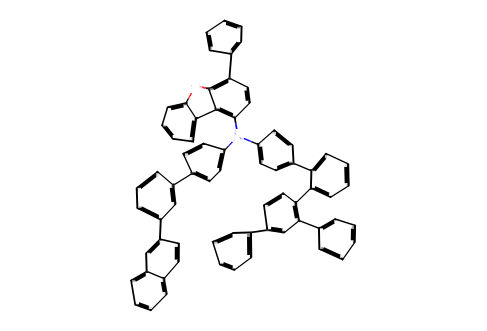 c1ccc(-c2ccc(-c3ccccc3-c3ccc(N(c4ccc(-c5cccc(-c6ccc7ccccc7c6)c5)cc4)c4ccc(-c5ccccc5)c5oc6ccccc6c45)cc3)c(-c3ccccc3)c2)cc1